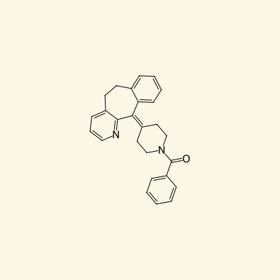 O=C(c1ccccc1)N1CCC(=C2c3ccccc3CCc3cccnc32)CC1